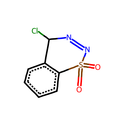 O=S1(=O)N=NC(Cl)c2ccccc21